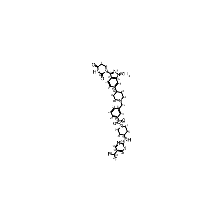 Cn1nc(N2CCC(=O)NC2=O)c2ccc(C3CCN(Cc4cccc(S(=O)(=O)N5CCC(Nc6ncc(C(F)F)cn6)CC5)c4)CC3)cc21